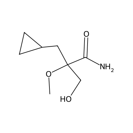 COC(CO)(CC1CC1)C(N)=O